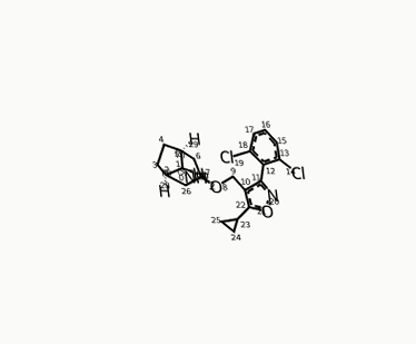 N[C@@H]1[C@@H]2CC[C@H]1C[C@@H](OCc1c(-c3c(Cl)cccc3Cl)noc1C1CC1)C2